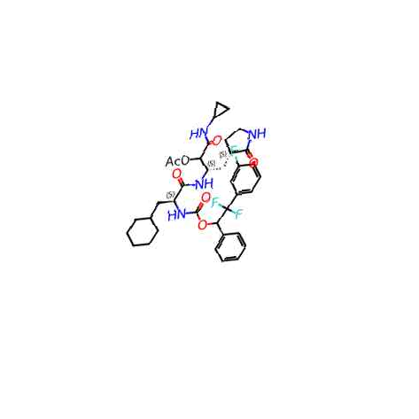 CC(=O)OC(C(=O)NC1CC1)[C@H](C[C@@H]1CCNC1=O)NC(=O)[C@H](CC1CCCCC1)NC(=O)OC(c1ccccc1)C(F)(F)c1cccc(F)c1